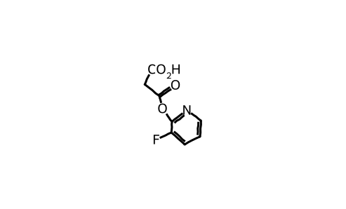 O=C(O)CC(=O)Oc1ncccc1F